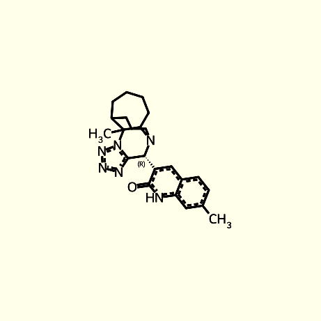 Cc1ccc2cc([C@@H]3c4nnnn4C4(C)C5CCCCC4N3CCC5)c(=O)[nH]c2c1